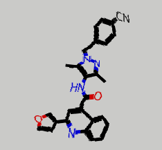 Cc1nn(Cc2ccc(C#N)cc2)c(C)c1NC(=O)c1cc(-c2ccoc2)nc2ccccc12